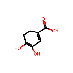 O=C(O)C1=CC(O)=C(O)CC1